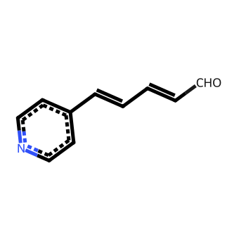 O=C/C=C/C=C/c1ccncc1